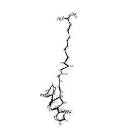 CC(C)CCCCCCCCCCCCCC=CC(CC(=O)C1NCCO1)C(=O)C1NCCO1